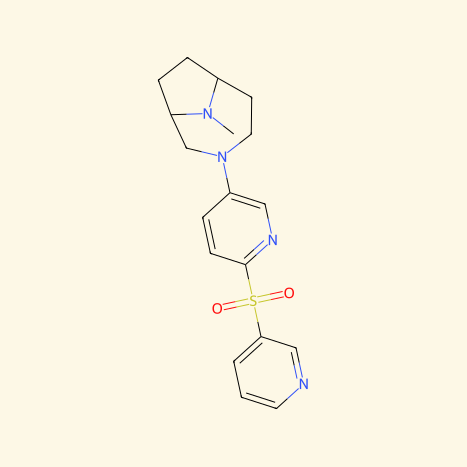 CN1C2CCC1CN(c1ccc(S(=O)(=O)c3cccnc3)nc1)CC2